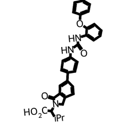 CC(C)C(C(=O)O)N1Cc2ccc(-c3ccc(NC(=O)Nc4ccccc4Oc4ccccc4)cc3)cc2C1=O